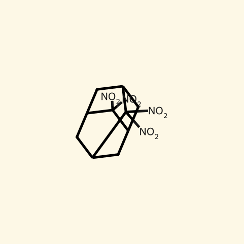 O=[N+]([O-])C1([N+](=O)[O-])C2CC3CC1CC(C2)C3([N+](=O)[O-])[N+](=O)[O-]